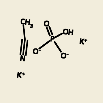 CC#N.O=P([O-])([O-])O.[K+].[K+]